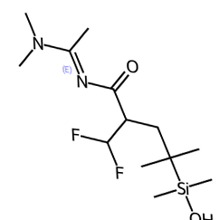 C/C(=N\C(=O)C(CC(C)(C)[Si](C)(C)O)C(F)F)N(C)C